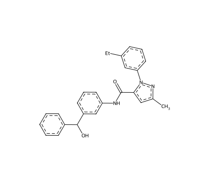 CCc1cccc(-n2nc(C)cc2C(=O)Nc2cccc(C(O)c3ccccc3)c2)c1